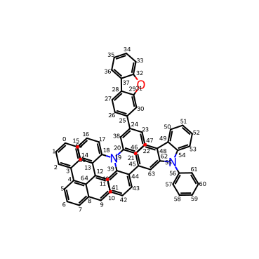 c1ccc(-c2cccc3cccc(-c4ccccc4N(c4cccc(-c5ccc6c(c5)oc5ccccc56)c4)c4ccccc4-c4ccc5c6ccccc6n(-c6ccccc6)c5c4)c23)cc1